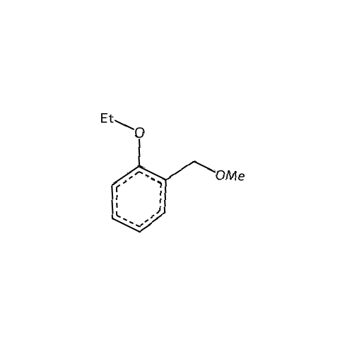 [CH2]OCc1ccccc1OCC